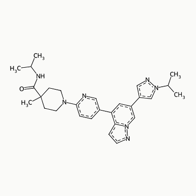 CC(C)NC(=O)C1(C)CCN(c2ccc(-c3cc(-c4cnn(C(C)C)c4)cn4nccc34)cn2)CC1